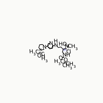 CN(O)/C(Cl)=C(\CCNc1ccc(N2CCC[C@@H](C(C)(C)O)C2)cn1)CNC(=O)OC(C)(C)C